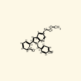 COOSc1cnc2c(c1)cc(-c1cccc[n+]1[O-])n2Cc1ccc(F)cc1